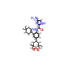 CC1(C)CC=C(c2cc(C3CC(C)(C)S(=O)(=O)C(C)(C)C3)ccc2NC(=O)c2nc(N)c[nH]2)CC1